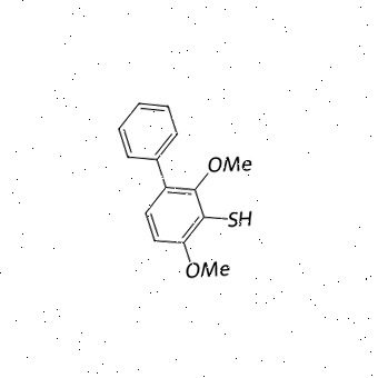 COc1ccc(-c2ccccc2)c(OC)c1S